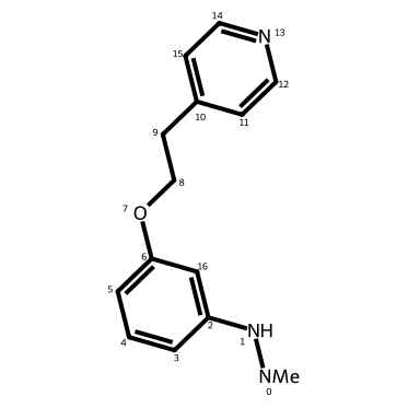 CNNc1cccc(OCCc2ccncc2)c1